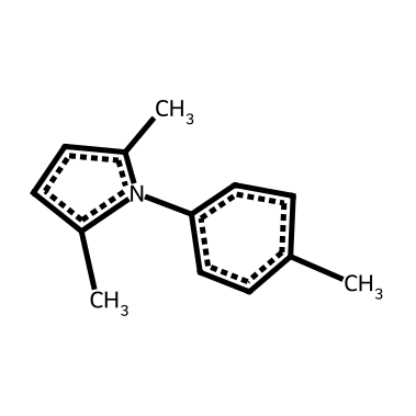 Cc1ccc(-n2c(C)ccc2C)cc1